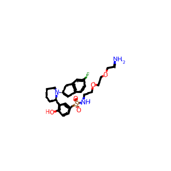 NCCOCCOCCNS(=O)(=O)c1ccc(O)c(C2CCCCN2[C@H]2Cc3ccc(F)cc3C2)c1